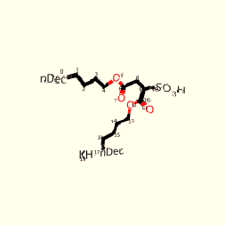 CCCCCCCCCCCCCCOC(=O)CC(C(=O)OCCCCCCCCCCCCCC)S(=O)(=O)O.[KH]